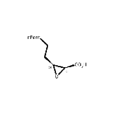 CCCCCCC[C@@H]1O[C@@H]1C(=O)O